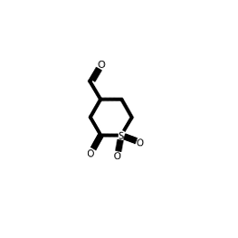 O=CC1CCS(=O)(=O)C(=O)C1